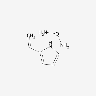 C=Cc1ccc[nH]1.NON